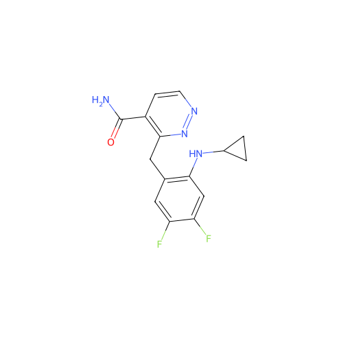 NC(=O)c1ccnnc1Cc1cc(F)c(F)cc1NC1CC1